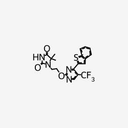 CC1(C)C(=O)NC(=O)N1CCOc1ncc(C(F)(F)F)c(-c2cc3ccccc3s2)n1